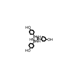 Oc1ccc(B2NB(c3ccc(O)cc3)NB(c3ccc(O)cc3)N2)cc1